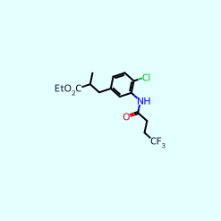 CCOC(=O)C(C)Cc1ccc(Cl)c(NC(=O)CCC(F)(F)F)c1